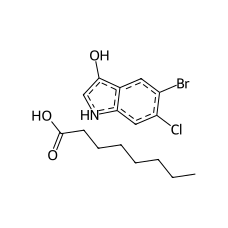 CCCCCCCC(=O)O.Oc1c[nH]c2cc(Cl)c(Br)cc12